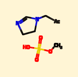 CC(=O)CN1C=NCC1.COS(=O)(=O)O